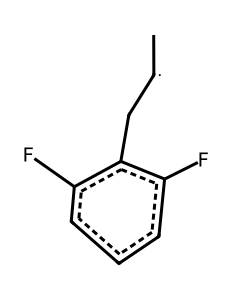 C[CH]Cc1c(F)cccc1F